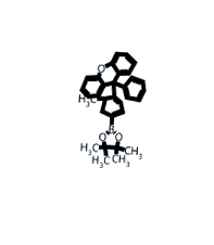 CC1CC(B2OC(C)(C)C(C)(C)O2)=CC=C1C1(c2ccccc2)c2ccccc2Oc2ccccc21